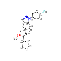 CCOC(C[C@@]1(C)Cc2cnn(-c3ccc(F)cc3)c2C=C1C)C1CCCCC1